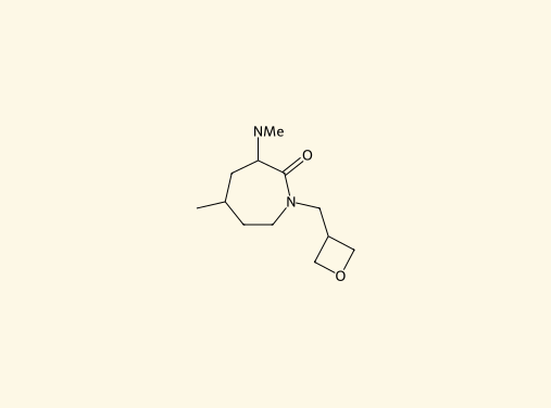 CNC1CC(C)CCN(CC2COC2)C1=O